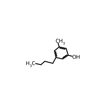 CCCCc1cc(C)cc(O)c1